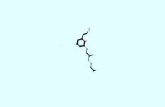 CC(C)=CCC/C(=C/Cc1cc(C(=O)O)cc(/C=C/C(C)C)c1O)CO